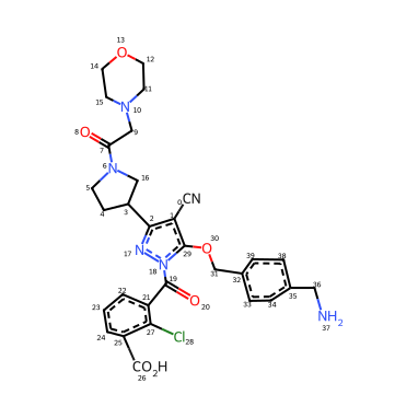 N#Cc1c(C2CCN(C(=O)CN3CCOCC3)C2)nn(C(=O)c2cccc(C(=O)O)c2Cl)c1OCc1ccc(CN)cc1